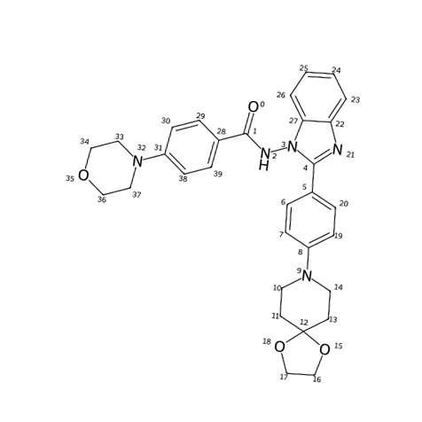 O=C(Nn1c(-c2ccc(N3CCC4(CC3)OCCO4)cc2)nc2ccccc21)c1ccc(N2CCOCC2)cc1